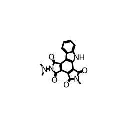 CN(C)n1c(=O)c2c3c(=O)n(C)c(=O)c3c3[nH]c4ccccc4c3c2c1=O